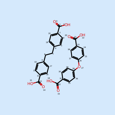 O=C(O)c1ccc(CCc2ccc(C(=O)O)cc2)cc1.O=C(O)c1ccc(Oc2ccc(C(=O)O)cc2)cc1